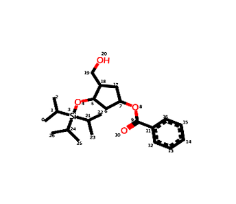 CC(C)[Si](OC1CC(OC(=O)c2ccccc2)CC1CO)(C(C)C)C(C)C